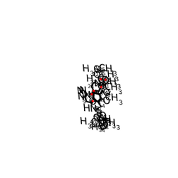 COc1c(C[C@H](NC(=O)Cc2nnnn2CC2CCN(C(=O)OC(C)(C)C)CC2)B2O[C@@H]3CC4C[C@@H](C4(C)C)[C@]3(C)O2)cccc1C(=O)OC(C)(C)C